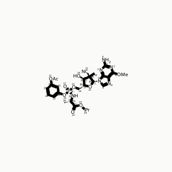 COc1nc(N)nc2c1ncn2[C@@H]1O[C@H](COP(=O)(N[C@@H](C)C(=O)OC(C)C)Oc2cccc(OC(C)=O)c2)[C@@H](O)[C@@]1(C)C#N